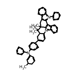 CC1C=C(N(c2ccccc2)c2ccc(C3=CC=C4C(C3)C(C)(C)C3(C)Cc5c(n(-c6ccccc6)c6ccccc56)-c5c3n4c3ccccc53)cc2)C=CC1